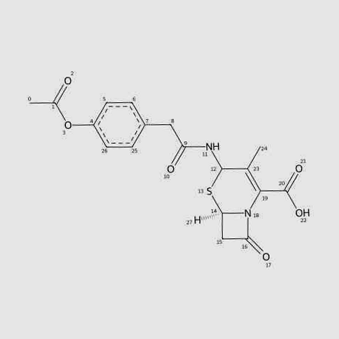 CC(=O)Oc1ccc(CC(=O)NC2S[C@@H]3CC(=O)N3C(C(=O)O)=C2C)cc1